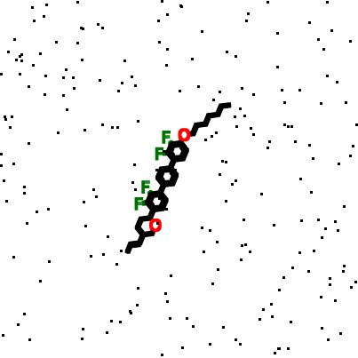 C/C=C/C1CCC(c2ccc(-c3ccc(-c4ccc(OCCCCCCC)c(F)c4F)cc3)c(F)c2F)OC1